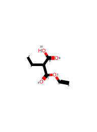 C=COC(=O)C(CC)C(=O)O